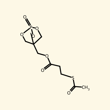 CC(=O)SCCC(=O)OCC12COP(=O)(OC1)OC2